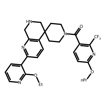 CCCOc1ccc(C(=O)N2CCC3(CC2)CNCc2nc(-c4cccnc4OCC)ccc23)c(C(F)(F)F)n1